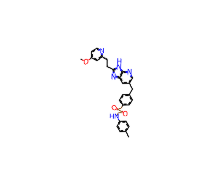 COc1ccnc(CCc2nc3cc(Cc4ccc(S(=O)(=O)Nc5ccc(C)cc5)cc4)cnc3[nH]2)c1